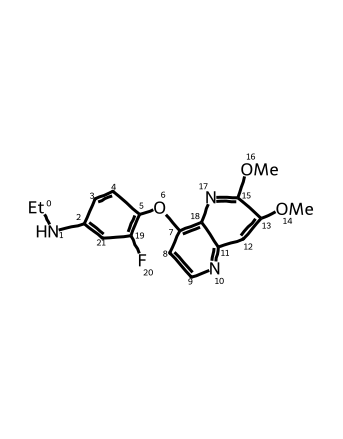 CCNc1ccc(Oc2ccnc3cc(OC)c(OC)nc23)c(F)c1